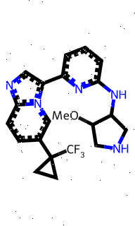 COC1CNCC1Nc1cccc(-c2cnc3ccc(C4(C(F)(F)F)CC4)cn23)n1